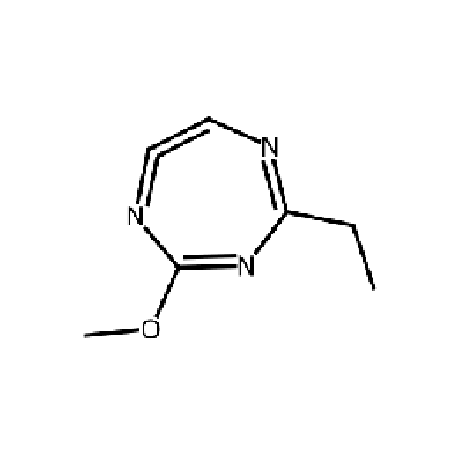 CCC1=NC=C=NC(OC)=N1